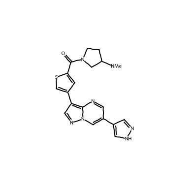 CNC1CCN(C(=O)c2cc(-c3cnn4cc(-c5cn[nH]c5)cnc34)cs2)C1